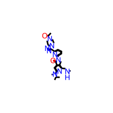 CNCc1nc(N(C)C(C)C)cc2c1CN(c1cccc(-c3nnc4n3CCN(C(C)=O)C4)n1)C2=O